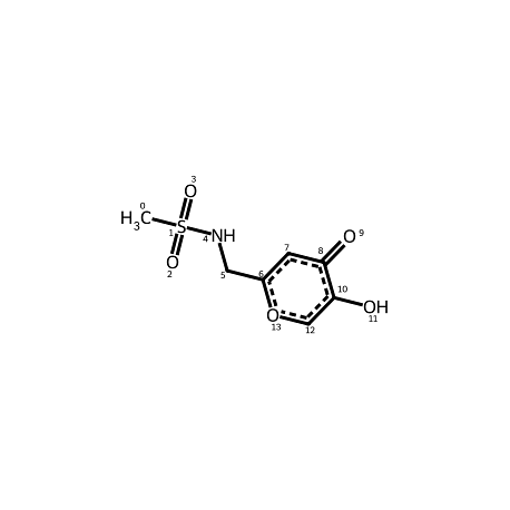 CS(=O)(=O)NCc1cc(=O)c(O)co1